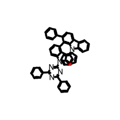 c1ccc(-c2nc(-c3ccccc3)nc(-n3c4ccccc4c4c(-c5c(-c6ccccc6)ccc6c7ccccc7n(-c7ccccc7)c56)cccc43)n2)cc1